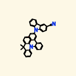 CC1(C)c2ccccc2N(c2ccccc2-c2cccc(-n3c4ccccc4c4cc(C#N)ccc43)c2)c2ccccc21